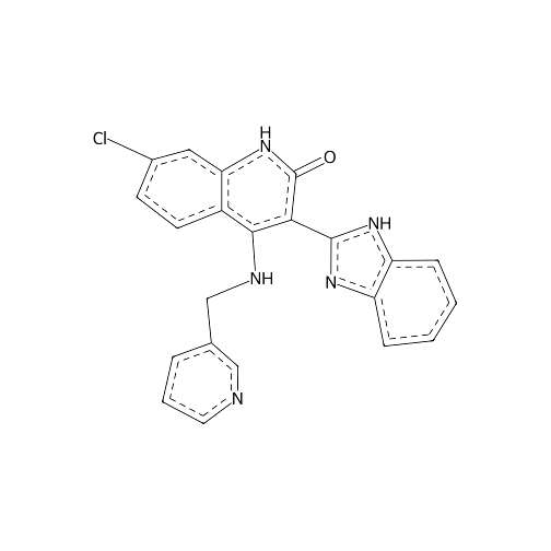 O=c1[nH]c2cc(Cl)ccc2c(NCc2cccnc2)c1-c1nc2ccccc2[nH]1